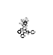 CC1(C)[C@@H]2C[C@H]3OB([C@H](Cc4ccccc4)NC(=O)C(CC(=O)N4CCOCC4)NC(=O)c4cnccn4)O[C@@]3(C)[C@H]1C2